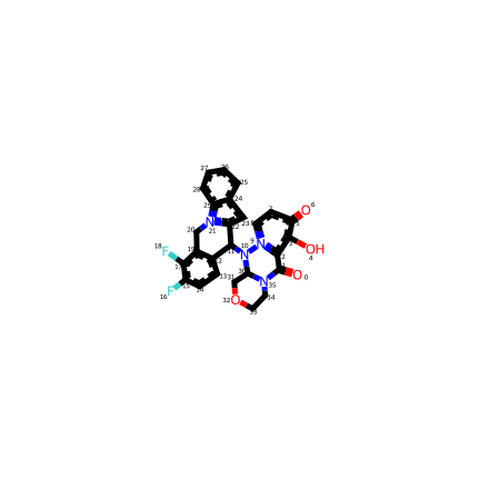 O=C1c2c(O)c(=O)ccn2N(C2c3ccc(F)c(F)c3Cn3c2cc2ccccc23)C2COCCN12